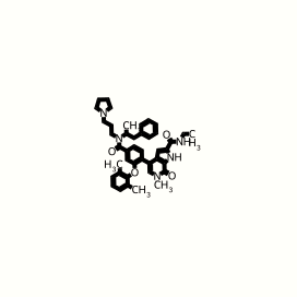 CCNC(=O)c1cc2c(-c3ccc(C(=O)N(CCCN4CCCC4)C(C)Cc4ccccc4)cc3Oc3c(C)cccc3C)cn(C)c(=O)c2[nH]1